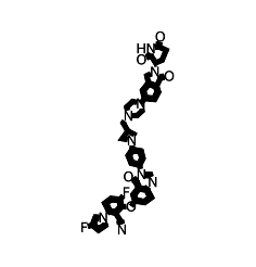 N#Cc1c(-n2ccc(F)c2)ccc(F)c1Oc1ccc2ncn(-c3ccc(N4CC(CN5CCN(c6ccc7c(c6)CN([C@@H]6CCC(=O)NC6=O)C7=O)CC5)C4)cc3)c(=O)c2c1